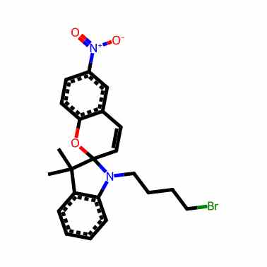 CC1(C)c2ccccc2N(CCCCBr)C12C=Cc1cc([N+](=O)[O-])ccc1O2